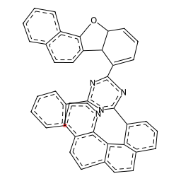 C1=CC2Oc3c(ccc4ccccc34)C2C(c2nc(-c3ccccc3)nc(-c3cccc4ccc5ccc6cccnc6c5c34)n2)=C1